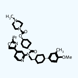 COc1ccc([C@H]2CC[C@H](CN(c3cc(-c4coc(C(C)C)n4)ccn3)C(=O)[C@H]3CC[C@H](OC(=O)N4CCN(C)CC4)CC3)CC2)cc1C